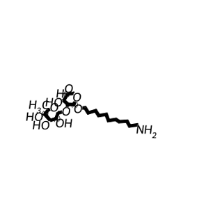 CC1OC(OC2C(O)[C@H]3OC3O[C@H]2OCCCCCCCCCCCN)[C@@H](O)C(O)[C@H]1O